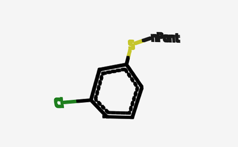 CCCCCSc1cc[c]c(Cl)c1